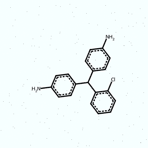 Nc1ccc(C(c2ccc(N)cc2)c2ccccc2Cl)cc1